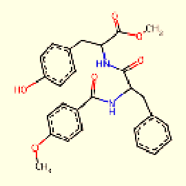 COC(=O)C(Cc1ccc(O)cc1)NC(=O)C(Cc1ccccc1)NC(=O)c1ccc(OC)cc1